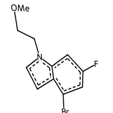 COCCn1ccc2c(Br)cc(F)cc21